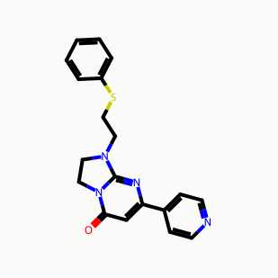 O=c1cc(-c2ccncc2)nc2n1CCN2CCSc1ccccc1